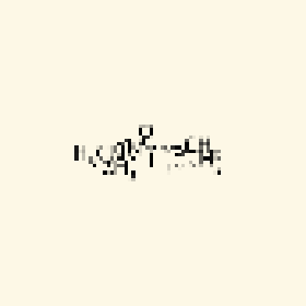 CC(C)N1CCN(C(=O)CCCCC(C)(C)C)CC1